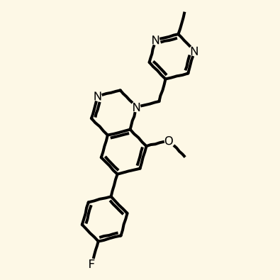 COc1cc(-c2ccc(F)cc2)cc2c1N(Cc1cnc(C)nc1)CN=C2